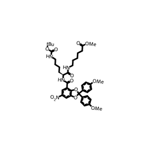 COC(=O)CCCCCNC(=O)[C@H](CCCCNC(=O)OC(C)(C)C)NC(=O)c1cc([N+](=O)[O-])cc2c1OC(c1ccc(OC)cc1)(c1ccc(OC)cc1)O2